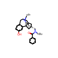 CCCCN(C[C@H]1CC2(C)CC3Cc4ccc(O)cc4C2(CCN3CCC)C1)C(=O)c1ccccc1